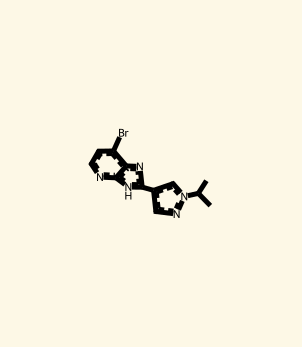 CC(C)n1cc(-c2nc3c(Br)ccnc3[nH]2)cn1